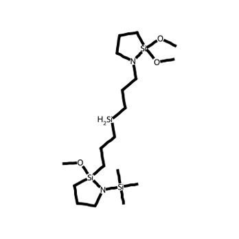 CO[Si]1(CCC[SiH2]CCCN2CCC[Si]2(OC)OC)CCCN1[Si](C)(C)C